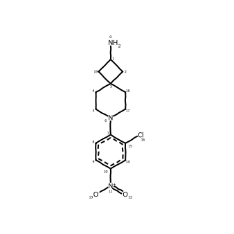 NC1CC2(CCN(c3ccc([N+](=O)[O-])cc3Cl)CC2)C1